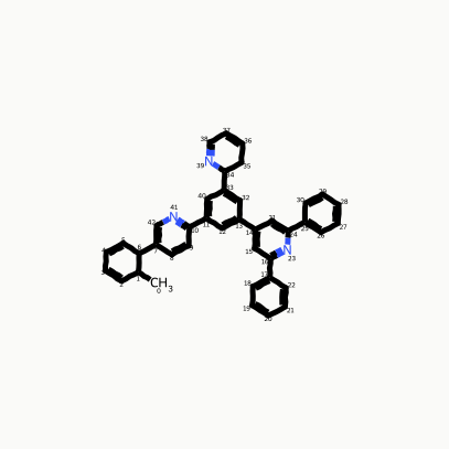 CC1C=CC=CC1c1ccc(-c2cc(-c3cc(-c4ccccc4)nc(-c4ccccc4)c3)cc(C3CC=CC=N3)c2)nc1